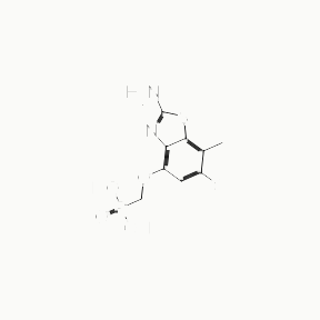 Cc1c(Cl)cc(OCP(=O)(O)O)c2nc(N)sc12